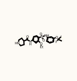 CCOc1cc(NC(=O)C2CCNCC2)ccc1S(=O)(=O)Nc1cccc(OC(C)(F)I)c1